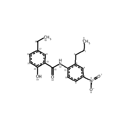 CCCc1cc([N+](=O)[O-])ccc1NC(=O)c1cc(CC)ccc1O